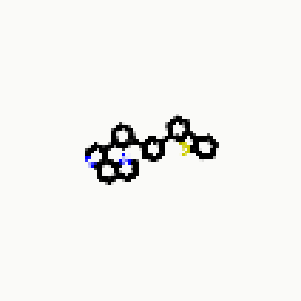 c1cc(-c2cccc(-c3ccnc4ccc5cccnc5c34)c2)cc(-c2cccc3c2sc2ccccc23)c1